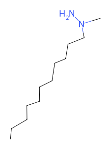 CCCCCCCCCCCN(C)N